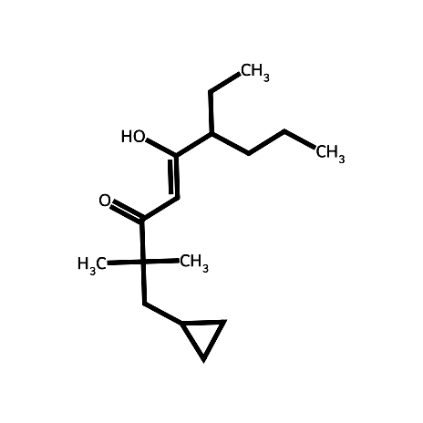 CCCC(CC)/C(O)=C/C(=O)C(C)(C)CC1CC1